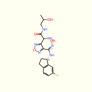 CC(O)CNC(=O)C(N)c1nonc1/C(=N\O)N[C@H]1CCc2ccc(F)cc21